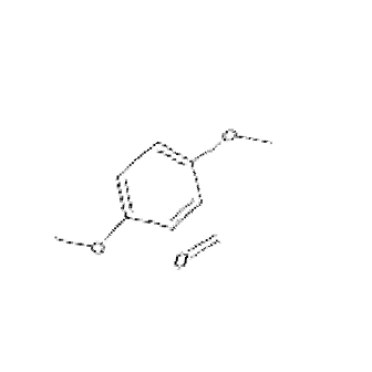 C=O.COc1ccc(OC)cc1